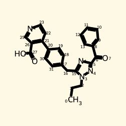 CCCn1nc(C(=O)c2ccccc2)nc1Cc1ccc(-c2ccncc2C(=O)O)cc1